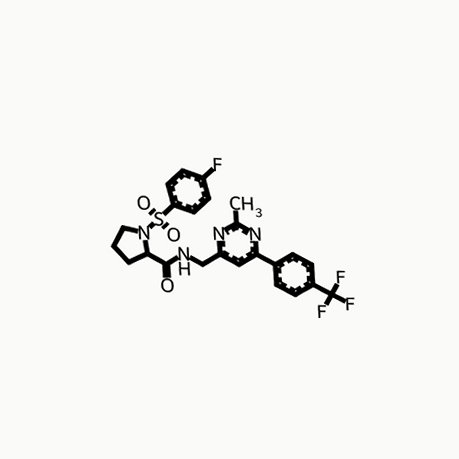 Cc1nc(CNC(=O)C2CCCN2S(=O)(=O)c2ccc(F)cc2)cc(-c2ccc(C(F)(F)F)cc2)n1